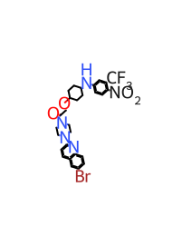 O=C(COC1CCC(Nc2ccc([N+](=O)[O-])c(C(F)(F)F)c2)CC1)N1CCN(c2ccc3cc(Br)ccc3n2)CC1